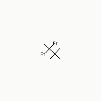 [CH2]CC(C)(CC)C(C)(C)C